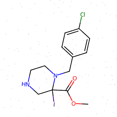 COC(=O)C1(I)CNCCN1Cc1ccc(Cl)cc1